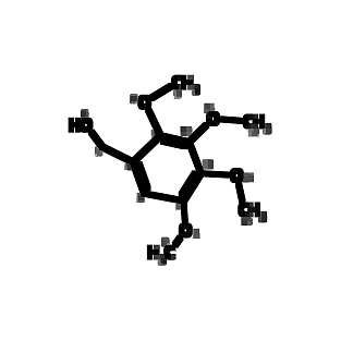 COc1cc(CO)c(OC)c(OC)c1OC